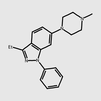 CCc1nn(-c2ccccc2)c2cc(N3CCN(C)CC3)ccc12